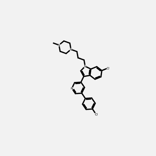 CN1CCN(CCCn2cc(-c3cncc(-c4ccc(Cl)cc4)c3)c3ccc(Cl)cc32)CC1